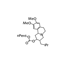 CCCCCOC(=O)OC1CC2c3cc(OC)c(OC)cc3CCN2CC1CC(C)C